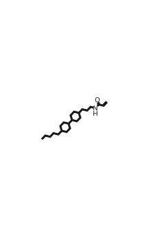 C=CC(=O)NCCCC1CCC(C2CCC(CCCCC)CC2)CC1